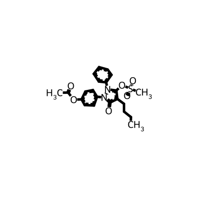 CCCCc1c(OS(C)(=O)=O)n(-c2ccccc2)n(-c2ccc(OC(C)=O)cc2)c1=O